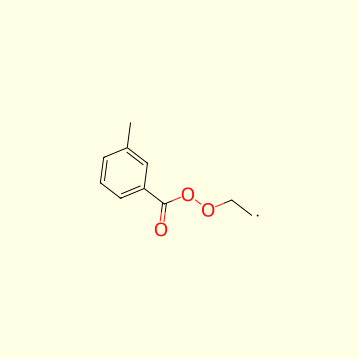 [CH2]COOC(=O)c1cccc(C)c1